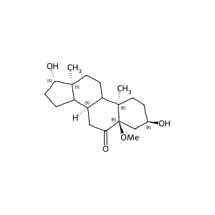 CO[C@]12C[C@H](O)CC[C@]1(C)C1CC[C@@]3(C)C(CC[C@@H]3O)[C@@H]1CC2=O